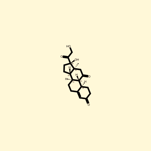 C[C@]12CC(=O)[C@H]3[C@@H](CCC4=CC(=O)CC[C@@H]43)[C@@H]1CC[C@]2(O)C(=O)CO